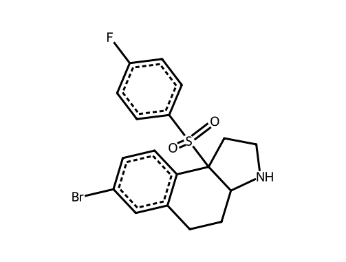 O=S(=O)(c1ccc(F)cc1)C12CCNC1CCc1cc(Br)ccc12